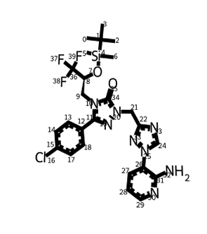 CC(C)(C)[Si](C)(C)O[C@@H](Cn1c(-c2ccc(Cl)cc2)nn(Cc2ncn(-c3cccnc3N)n2)c1=O)C(F)(F)F